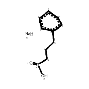 O=S(O)CCCc1ccccc1.[NaH]